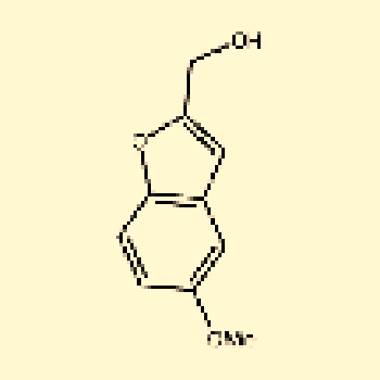 [CH2]Oc1ccc2oc(CO)cc2c1